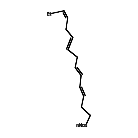 CC/C=C\CC=CCC=CC=CCCCCCCCCCCC